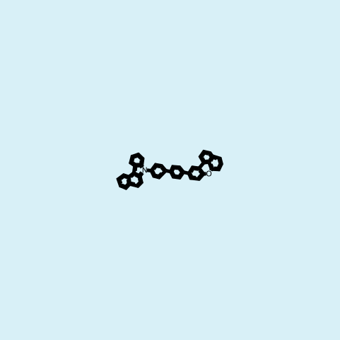 c1cc2c3c(cccc3c1)-c1cc(-c3ccc(-c4ccc(-n5c6ccccc6c6c7ccccc7ccc65)cc4)cc3)ccc1O2